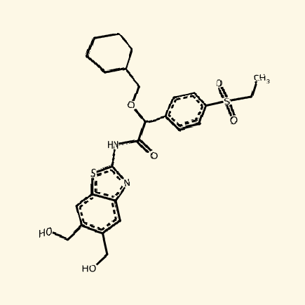 CCS(=O)(=O)c1ccc(C(OCC2CCCCC2)C(=O)Nc2nc3cc(CO)c(CO)cc3s2)cc1